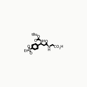 CCS(=O)(=O)c1ccc(C(CC(=O)NCC(=O)O)NC(=O)OC(C)(C)C)cc1